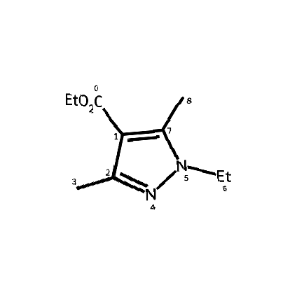 CCOC(=O)c1c(C)nn(CC)c1C